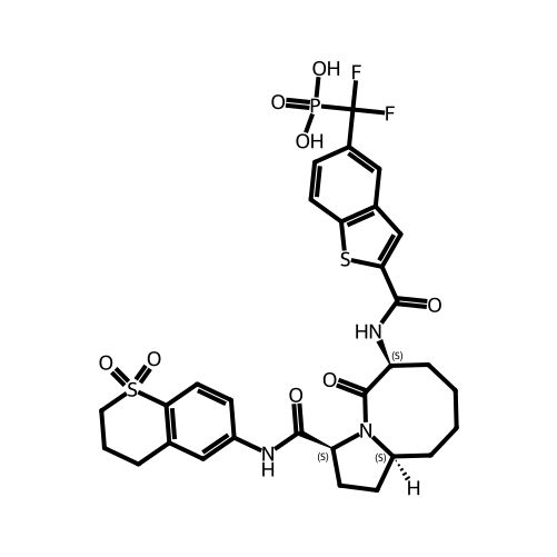 O=C(N[C@H]1CCCC[C@H]2CC[C@@H](C(=O)Nc3ccc4c(c3)CCCS4(=O)=O)N2C1=O)c1cc2cc(C(F)(F)P(=O)(O)O)ccc2s1